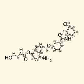 Nc1ncc(OC(=O)NCCO)c2scc(COc3cccc(C(=O)Nc4cccc(Cl)c4)c3)c12